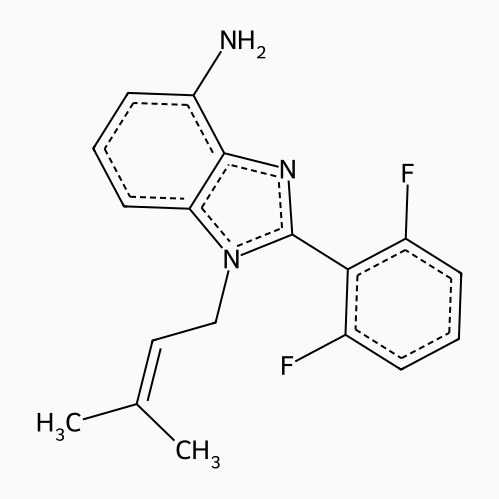 CC(C)=CCn1c(-c2c(F)cccc2F)nc2c(N)cccc21